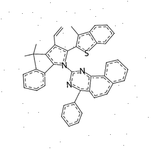 C=Cc1c2c(n(-c3nc(-c4ccccc4)c4ccc5ccccc5c4n3)c1-c1sc3ccccc3c1C)-c1ccccc1C2(C)C